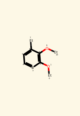 CCOc1bccc(CC)c1OCC